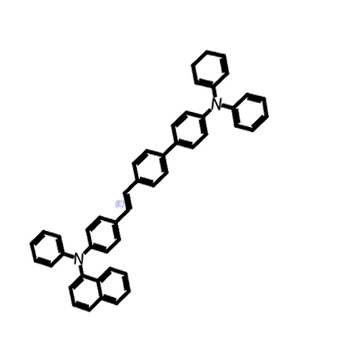 C1=CC(N(c2ccccc2)c2ccc(-c3ccc(/C=C/c4ccc(N(c5ccccc5)c5cccc6ccccc56)cc4)cc3)cc2)=CCC1